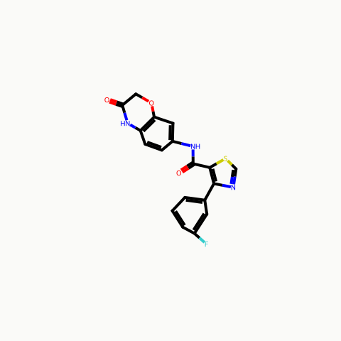 O=C1COc2cc(NC(=O)c3scnc3-c3cccc(F)c3)ccc2N1